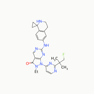 CCn1c(=O)c2cnc(Nc3ccc4c(c3)CCNC43CC3)nc2n1-c1ccnc(C(C)(C)CF)n1